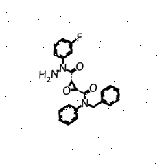 NN(C(=O)[C@H]1O[C@@H]1C(=O)N(Cc1ccccc1)c1ccccc1)c1cccc(F)c1